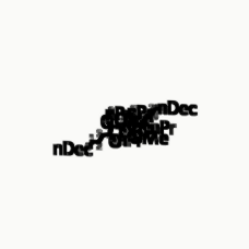 CCCCCCCCCCCCCC(OCCC)=C(OCCC)C(OC)OC(OC)C(OCCC)=C(CCCCCCCCCCCCC)OCCC